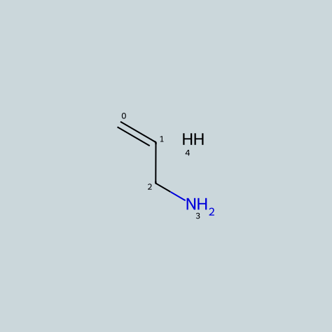 C=CCN.[HH]